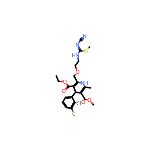 CCOC(=O)C1=C(COCCN/C(=N/C#N)SC)NC(C)=C(C(=O)OC)C1c1cccc(Cl)c1Cl